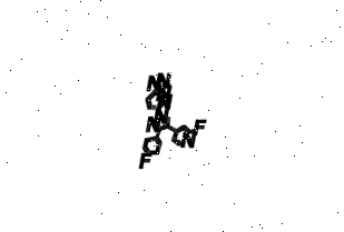 Fc1ccc(-c2nn(-c3ccc4nncn4n3)cc2-c2ccnc(F)c2)cc1